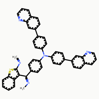 C=Nc1sc2ccccc2c1/C(=N\C)c1ccc(N(c2ccc(-c3ccc4cccnc4c3)cc2)c2ccc(-c3ccc4cccnc4c3)cc2)cc1